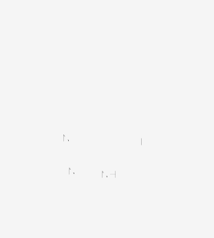 CC(C)Cc1nn[nH]c1F